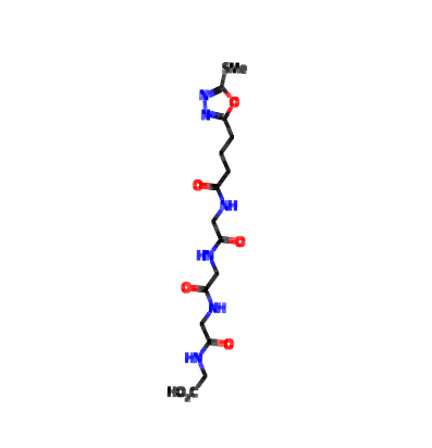 CSc1nnc(CCCC(=O)NCC(=O)NCC(=O)NCC(=O)NCC(=O)O)o1